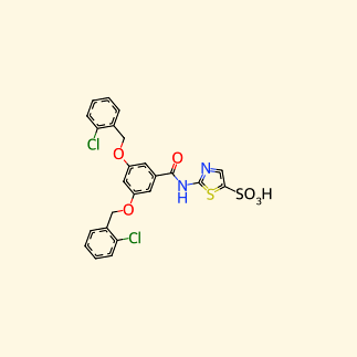 O=C(Nc1ncc(S(=O)(=O)O)s1)c1cc(OCc2ccccc2Cl)cc(OCc2ccccc2Cl)c1